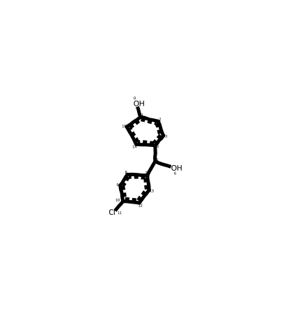 Oc1ccc(C(O)c2ccc(Cl)cc2)cc1